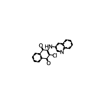 O=C1C(Cl)=C(Nc2cnc3ccccc3c2)C(=O)c2ccccc21